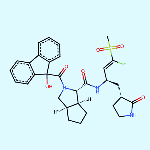 CS(=O)(=O)/C(F)=C/[C@@H](C[C@H]1CCNC1=O)NC(=O)[C@@H]1[C@H]2CCC[C@H]2CN1C(=O)C1(O)c2ccccc2-c2ccccc21